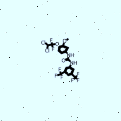 COc1cc(NC(=O)Nc2cc(C(F)(F)F)cc(C(F)(F)F)c2)ccc1OC(F)(F)C(Cl)Cl